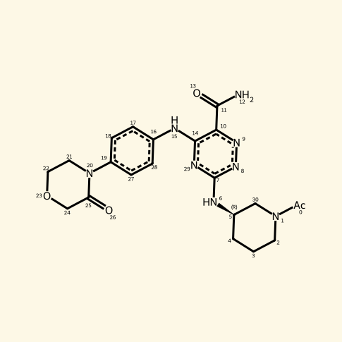 CC(=O)N1CCC[C@@H](Nc2nnc(C(N)=O)c(Nc3ccc(N4CCOCC4=O)cc3)n2)C1